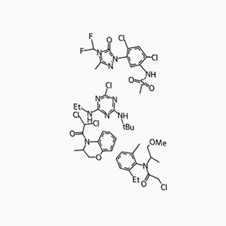 CC1COc2ccccc2N1C(=O)C(Cl)Cl.CCNc1nc(Cl)nc(NC(C)(C)C)n1.CCc1cccc(C)c1N(C(=O)CCl)C(C)COC.Cc1nn(-c2cc(NS(C)(=O)=O)c(Cl)cc2Cl)c(=O)n1C(F)F